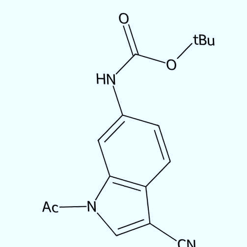 CC(=O)n1cc(C#N)c2ccc(NC(=O)OC(C)(C)C)cc21